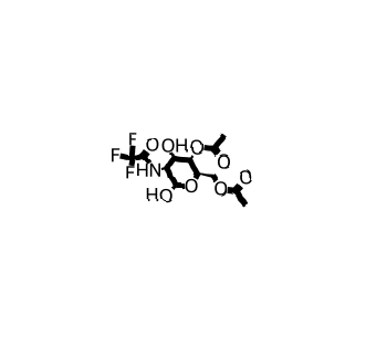 CC(=O)OC[C@H]1O[C@@H](O)[C@H](NC(=O)C(F)(F)F)[C@@H](O)[C@@H]1OC(C)=O